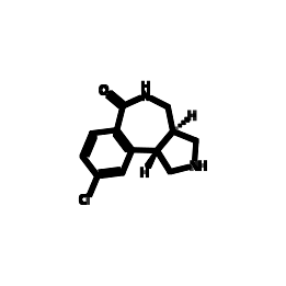 O=C1NC[C@H]2CNC[C@@H]2c2cc(Cl)ccc21